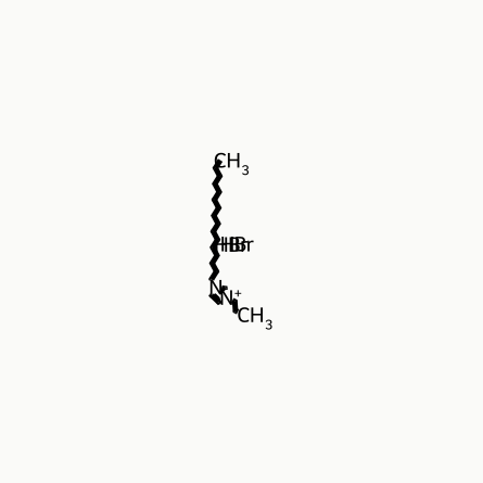 Br.Br.CCCCCCCCCCCCCCCCn1cc[n+](CCC)c1